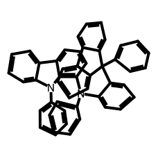 c1ccc(N(c2ccccc2C2(c3ccccc3)c3ccccc3-c3ccccc32)c2cccc3c4ccccc4n(-c4ccccc4)c23)cc1